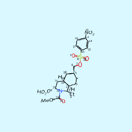 CCC1[C@@H]2CC[C@H](COS(=O)(=O)c3ccc([N+](=O)[O-])cc3)C[C@@H]2C[C@@H](C(=O)O)N1C(=O)OC